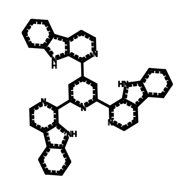 c1ccc2c(c1)[nH]c1c(-c3cc(-c4nccc5c4[nH]c4ccccc45)nc(-c4nccc5c4[nH]c4ccccc45)c3)nccc12